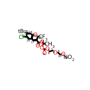 CC(OC(=O)OCCOCCO[N+](=O)[O-])OC(=O)C1=Cc2cc(Cl)c(C(C)(C)C)cc2OC1C(F)(F)F